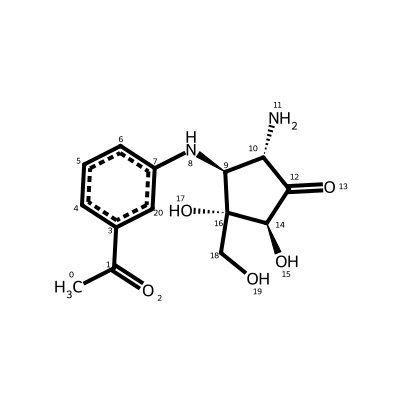 CC(=O)c1cccc(N[C@H]2[C@H](N)C(=O)[C@@H](O)[C@@]2(O)CO)c1